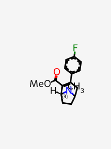 COC(=O)C1=C(c2ccc(F)cc2)CC2CC[C@H]1N2C